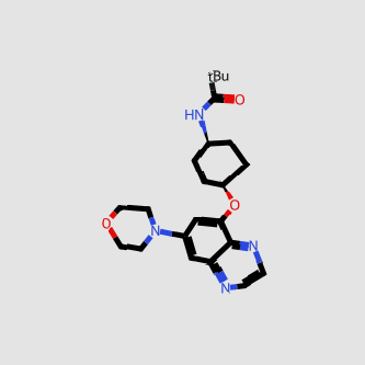 CC(C)(C)C(=O)N[C@H]1CC[C@@H](Oc2cc(N3CCOCC3)cc3nccnc23)CC1